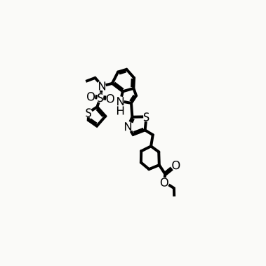 CCOC(=O)C1CCCC(Cc2cnc(-c3cc4cccc(N(CC)S(=O)(=O)c5cccs5)c4[nH]3)s2)C1